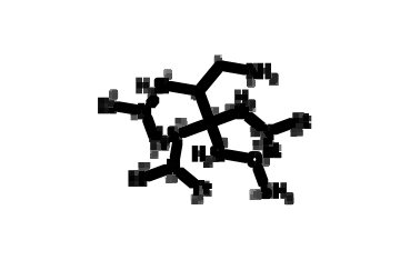 CCN(CC)[SiH2]C(CN)C([SiH2]O[SiH3])([SiH2]N(CC)CC)[SiH2]N(CC)CC